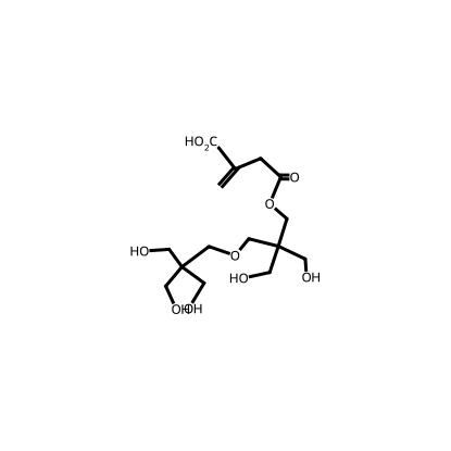 C=C(CC(=O)OCC(CO)(CO)COCC(CO)(CO)CO)C(=O)O